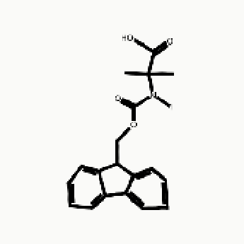 CC(C)(C(=O)O)N(I)C(=O)OCC1c2ccccc2-c2ccccc21